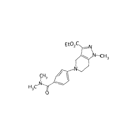 CCOC(=O)c1nn(C)c2c1CN(c1ccc(C(=O)N(C)C)cc1)CC2